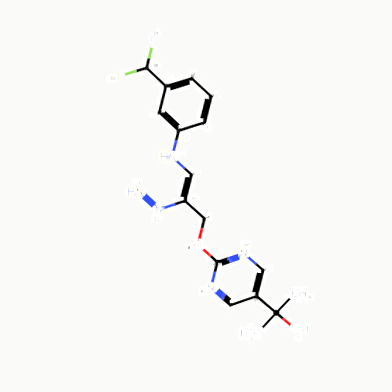 CC(C)(O)c1cnc(OC/C(=C/Nc2cccc(C(F)F)c2)N=N)nc1